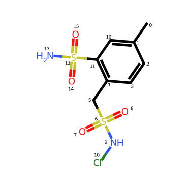 Cc1ccc(CS(=O)(=O)NCl)c(S(N)(=O)=O)c1